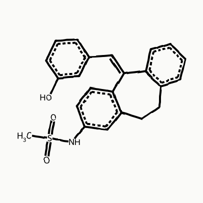 CS(=O)(=O)Nc1ccc2c(c1)CCc1ccccc1/C2=C/c1cccc(O)c1